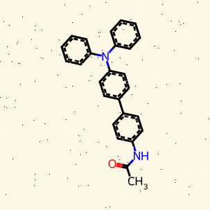 CC(=O)Nc1ccc(-c2ccc(N(c3ccccc3)c3ccccc3)cc2)cc1